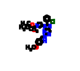 COc1ccc(CNc2ncc3nc(-c4ccccc4Cl)n(C4CCN(C(=O)OC(C)(C)C)C4)c3n2)cc1